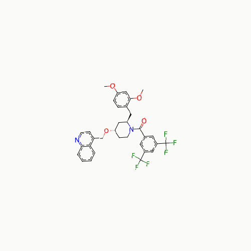 COc1ccc(C[C@@H]2C[C@@H](OCc3ccnc4ccccc34)CCN2C(=O)c2cc(C(F)(F)F)cc(C(F)(F)F)c2)c(OC)c1